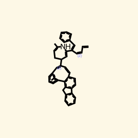 C=C/C=C\C(=Cc1ccccc1)C1=CC(/C2=C/c3cccc(c3C)-c3c(ccc4c3Cc3ccccc3-4)C=C2)CC=C(C)N1